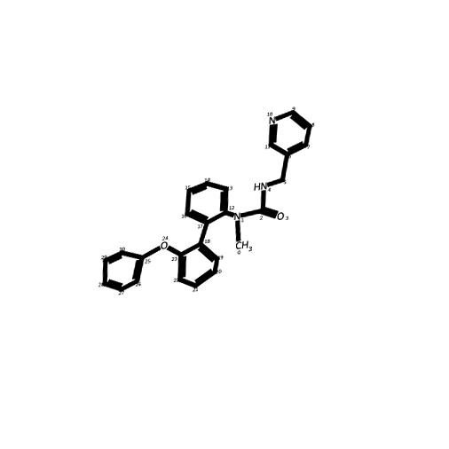 CN(C(=O)NCc1cccnc1)c1ccccc1-c1ccccc1Oc1ccccc1